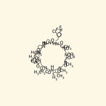 CCCN1C(=O)C[C@@H](C(=O)N2CCCCC2)N(C)C(=O)[C@H](C(C)C)N(C)C(=O)C2(CCCC2)NC(=O)[C@@H]2CCCN2C(=O)[C@H](CCc2ccc(C(F)(F)F)c(Cl)c2)NC(=O)CN(C)C(=O)[C@H](CC2CCCCC2)N(C)C(=O)CN(C)C(=O)CN(C)C(=O)[C@H]([C@@H](C)CC)NC(=O)[C@@H]1C